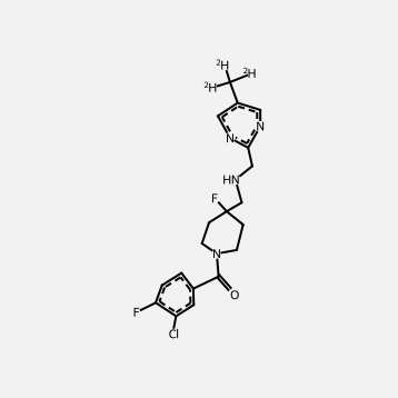 [2H]C([2H])([2H])c1cnc(CNCC2(F)CCN(C(=O)c3ccc(F)c(Cl)c3)CC2)nc1